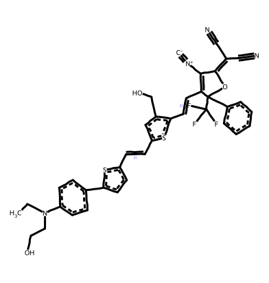 [C-]#[N+]C1=C(/C=C/c2sc(/C=C/c3ccc(-c4ccc(N(CC)CCO)cc4)s3)cc2CO)C(c2ccccc2)(C(F)(F)F)OC1=C(C#N)C#N